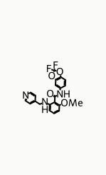 COc1cccc(NCc2ccncc2)c1C(=O)Nc1ccc2c(c1)OC(F)(F)O2